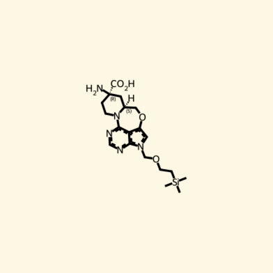 C[Si](C)(C)CCOCn1cc2c3c(ncnc31)N1CC[C@](N)(C(=O)O)C[C@H]1CO2